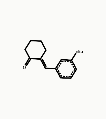 CCCCc1cccc(C=C2CCCCC2=O)c1